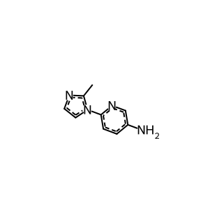 Cc1nccn1-c1ccc(N)cn1